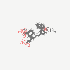 COc1ccc(CC/C=C(/C=CC(=O)O)c2cccc(C(=O)O)c2)cc1C12CC3CC(CC(C3)C1)C2